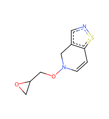 C1=CN(OCC2CO2)Cc2cnsc21